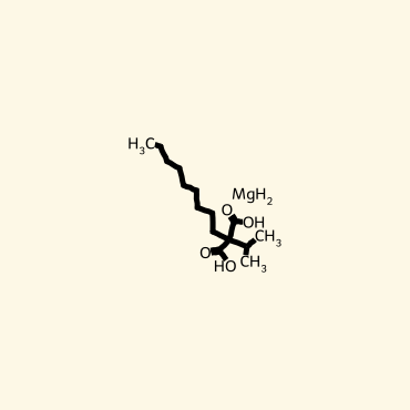 CCCCCCCCCC(C(=O)O)(C(=O)O)C(C)C.[MgH2]